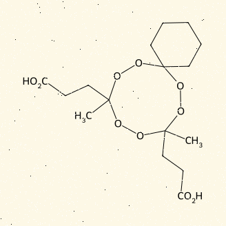 CC1(CCC(=O)O)OOC(C)(CCC(=O)O)OOC2(CCCCC2)OO1